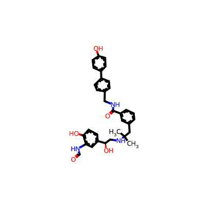 CC(C)(Cc1cccc(C(=O)NCc2ccc(-c3ccc(O)cc3)cc2)c1)NC[C@@H](O)c1ccc(O)c(NC=O)c1